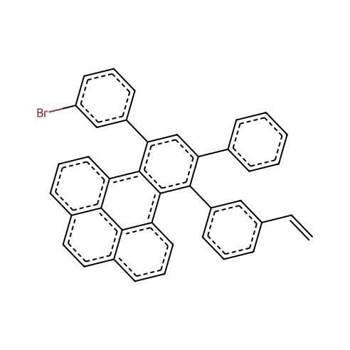 C=Cc1cccc(-c2c(-c3ccccc3)cc(-c3cccc(Br)c3)c3c4cccc5ccc6cccc(c23)c6c54)c1